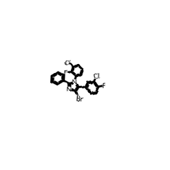 Fc1ccc(-c2c(Br)nc(-c3ccccc3)n2-c2cccc(Cl)c2F)cc1Cl